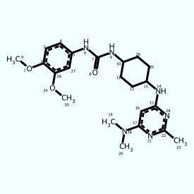 COc1ccc(NC(=O)NC2CCC(Nc3cc(N(C)C)nc(C)n3)CC2)cc1OC